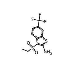 CCS(=O)(=O)c1c(N)sc2cc(C(F)(F)F)ccc12